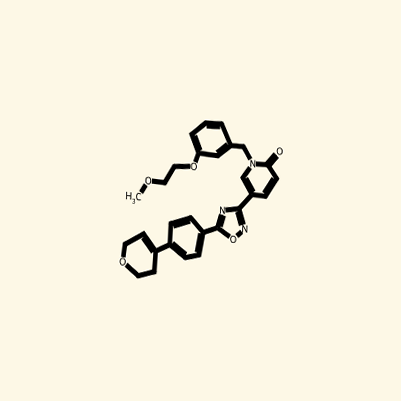 COCCOc1cccc(Cn2cc(-c3noc(-c4ccc(C5=CCOCC5)cc4)n3)ccc2=O)c1